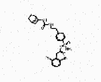 CC(C)c1cccc(C(C)C)c1CC(=O)N=S(N)(=O)c1ccc(CCNC(=O)NC2CC3CCC2C3)cc1